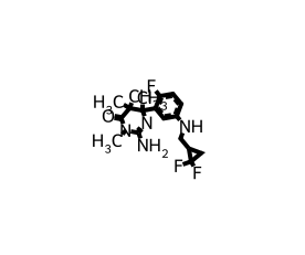 CN1C(=O)C(C)(C)C(C)(c2cc(NCC3CC3(F)F)ccc2F)N=C1N